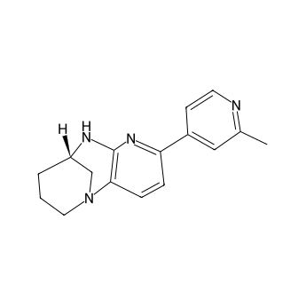 Cc1cc(-c2ccc3c(n2)N[C@H]2CCCN3C2)ccn1